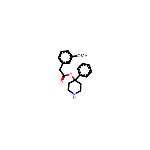 COc1cccc(CC(=O)OC2(c3ccccc3)CCNCC2)c1